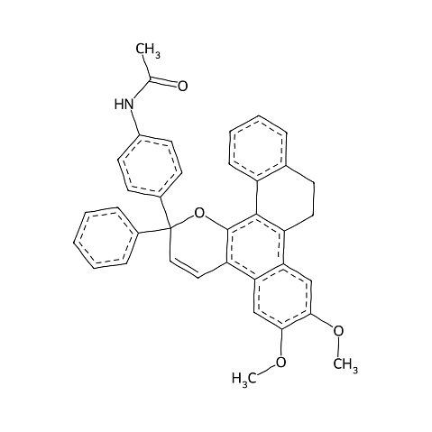 COc1cc2c3c(c4c(c2cc1OC)CCc1ccccc1-4)OC(c1ccccc1)(c1ccc(NC(C)=O)cc1)C=C3